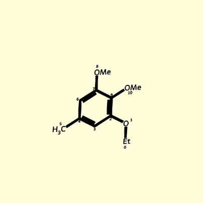 CCOc1[c]c(C)cc(OC)c1OC